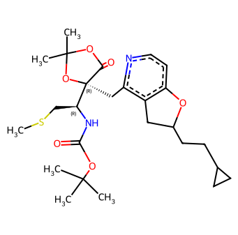 CSC[C@H](NC(=O)OC(C)(C)C)[C@@]1(Cc2nccc3c2CC(CCC2CC2)O3)OC(C)(C)OC1=O